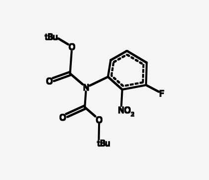 CC(C)(C)OC(=O)N(C(=O)OC(C)(C)C)c1cccc(F)c1[N+](=O)[O-]